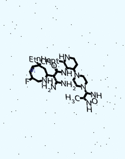 CCCCCCCC1NCCC(N2CCN(C3NONC3C)CC2)C1NC(=O)C(C(N)N)C1CC(C)(CC)/C=C\C(F)CN1